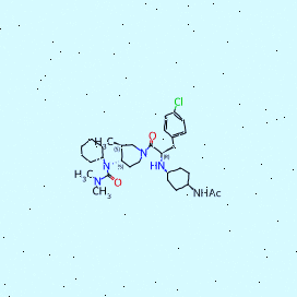 CC(=O)N[C@H]1CC[C@@H](N[C@H](Cc2ccc(Cl)cc2)C(=O)N2CC[C@H](N(C(=O)N(C)C)C3CCCCC3)[C@@H](C)C2)CC1